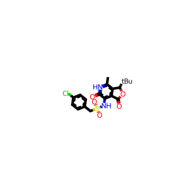 Cc1[nH]c(=O)c(NS(=O)(=O)Cc2ccc(Cl)cc2)c2c1C(C(C)(C)C)OC2=O